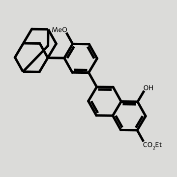 CCOC(=O)c1cc(O)c2cc(-c3ccc(OC)c(C45CC6CC(CC(C6)C4)C5)c3)ccc2c1